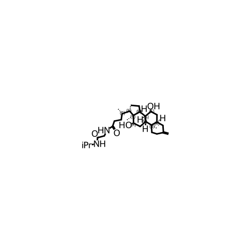 C=C1CC[C@]2(C)[C@H](C1)C[C@H](O)[C@H]1[C@H]2C[C@@H](O)[C@]2(C)[C@@H]1CC[C@H]2[C@@H](C)CCC(=O)NCC(=O)NC(C)C